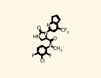 CN(C(=O)C1CNC(=O)N1c1cc(C(F)(F)F)c2c(n1)CC=C2)c1ccc(F)c(Cl)c1F